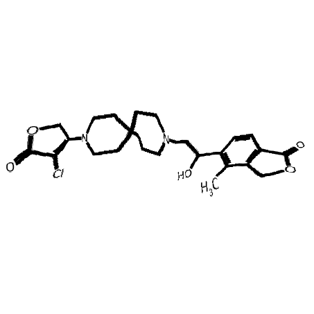 Cc1c(C(O)CN2CCC3(CC2)CCN(C2=C(Cl)C(=O)OC2)CC3)ccc2c1COC2=O